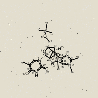 Cc1cn([C@@H]2O[C@@]3(COC(C)(C)C)CN(c4nc(C)n(C)n4)[C@@H]2[C@@H]3OC(C)(C)C)c(=O)[nH]c1=O